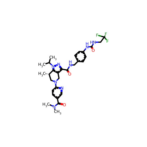 CC(C)n1nc(C(=O)NCc2ccc(NC(=O)NCC(F)(F)F)cc2)c2c1[C@@H](C)CN(c1ccc(C(=O)N(C)C)cn1)C2